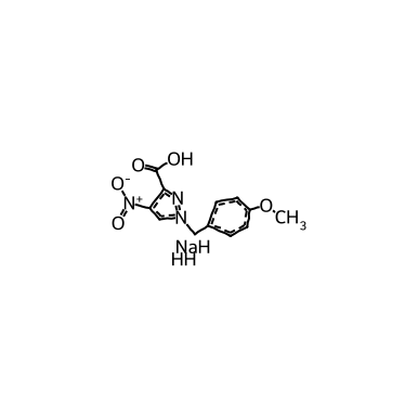 COc1ccc(Cn2cc([N+](=O)[O-])c(C(=O)O)n2)cc1.[HH].[NaH]